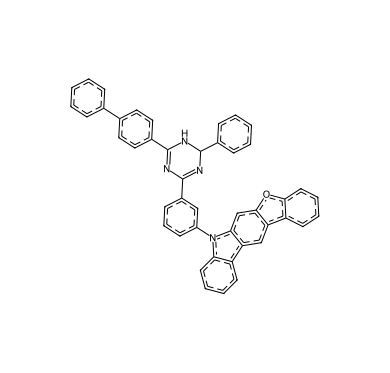 c1ccc(-c2ccc(C3=NC(c4cccc(-n5c6ccccc6c6cc7c(cc65)oc5ccccc57)c4)=NC(c4ccccc4)N3)cc2)cc1